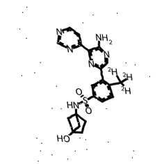 [2H]C([2H])([2H])c1ccc(S(=O)(=O)NC23CCC(O)(C2)C3)cc1-c1cnc(N)c(-c2ccncn2)n1